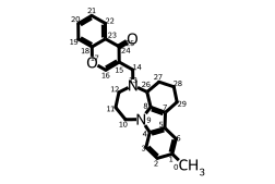 Cc1ccc2c(c1)c1c3n2CCCN(Cc2coc4ccccc4c2=O)C3CCC1